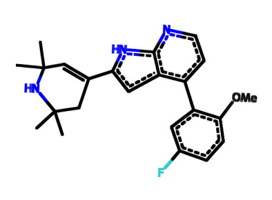 COc1ccc(F)cc1-c1ccnc2[nH]c(C3=CC(C)(C)NC(C)(C)C3)cc12